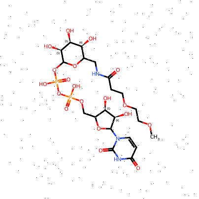 COCCOCCC(=O)NCC1OC(OP(=O)(O)OP(=O)(O)OCC2OC(n3ccc(=O)[nH]c3=O)[C@H](O)[C@@H]2O)[C@@H](O)[C@@H](O)[C@H]1O